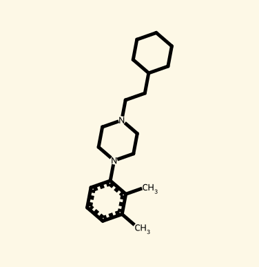 Cc1cccc(N2CCN(CCC3CCCCC3)CC2)c1C